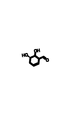 O=CC1C=CC[C@H](O)C1O